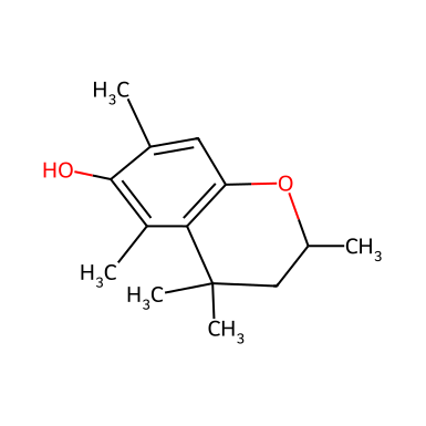 Cc1cc2c(c(C)c1O)C(C)(C)CC(C)O2